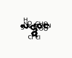 CN1CCN(C2CCN(C3(CC=O)CC(N4Cc5sccc5NC4=O)CC[N@+]3(Cc3ccc(Cl)c(Cl)c3)C(=O)[O-])CC2)CC1